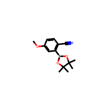 COc1ccc(C#N)c(B2OC(C)(C)C(C)(C)O2)c1